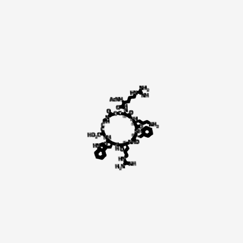 CC(=O)N[C@@H](CCCNC(=N)N)C(=O)N[C@H]1CCC(=O)NCCCC(C(=O)O)NC(=O)[C@H](Cc2c[nH]c3ccccc23)NC(=O)[C@H](CCCNC(=N)N)NC(=O)[C@@H](Cc2ccccc2)NC(=O)[C@H](CCCN)NC1=O